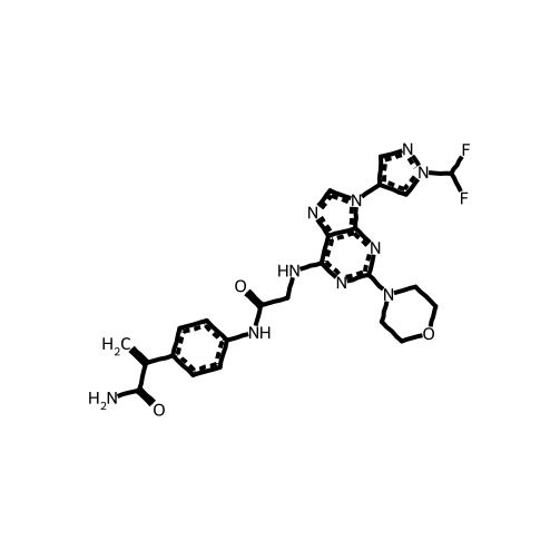 C=C(C(N)=O)c1ccc(NC(=O)CNc2nc(N3CCOCC3)nc3c2ncn3-c2cnn(C(F)F)c2)cc1